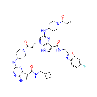 C=CC(=O)N1CCC(Nc2cnc3[nH]cc(C(=O)NCC4CCC4)c3n2)CC1.C=CC(=O)N1CCC(Nc2cnc3[nH]cc(C(=O)NCc4nc5ccc(F)cc5o4)c3n2)CC1